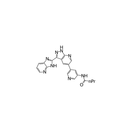 CCCC(=O)Nc1cncc(-c2cnc3[nH]nc(-c4nc5cccnc5[nH]4)c3c2)c1